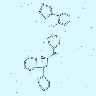 O=C(C=C(c1ccccc1)c1ccccc1)Nc1ccc(Cc2ccccc2-n2ccnc2)cc1